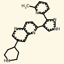 Cc1cccc(-c2n[nH]cc2-c2ccc3ncc(C4CCNCC4)cc3n2)n1